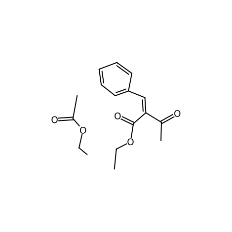 CCOC(=O)C(=Cc1ccccc1)C(C)=O.CCOC(C)=O